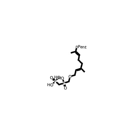 CCCCCC(C)=CCCC(C)=CCOCP(=O)(O)CP(=O)(O)O